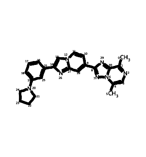 Cc1ncc(C)n2nc(-c3ccn4cc(-c5cccc(N6CCCC6)c5)nc4c3)nc12